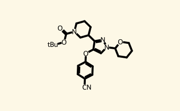 CC(C)(C)OC(=O)N1CCCC(c2nn(C3CCCCO3)cc2Oc2ccc(C#N)cc2)C1